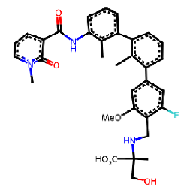 COc1cc(-c2cccc(-c3cccc(NC(=O)c4cccn(C)c4=O)c3C)c2C)cc(F)c1CNC(C)(CO)C(=O)O